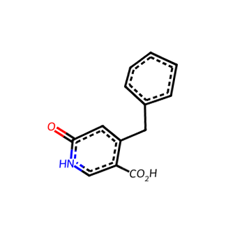 O=C(O)c1c[nH]c(=O)cc1Cc1ccccc1